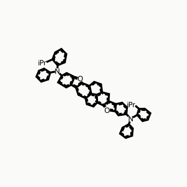 CC(C)c1ccccc1N(c1ccccc1)c1ccc2c(c1)oc1c2cc2ccc3c4oc5cc(N(c6ccccc6)c6ccccc6C(C)C)ccc5c4cc4ccc1c2c43